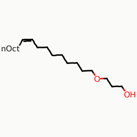 CCCCCCCC/C=C\CCCCCCCCOCCCO